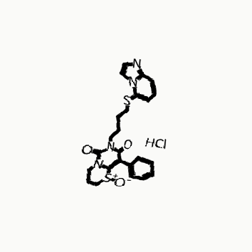 Cl.O=c1c(-c2ccccc2)c2n(c(=O)n1CCCCSc1cccc3nccn13)CCC[S+]2[O-]